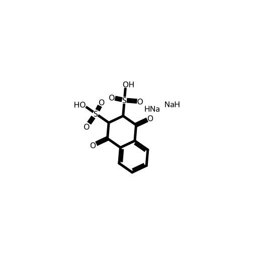 O=C1c2ccccc2C(=O)C(S(=O)(=O)O)C1S(=O)(=O)O.[NaH].[NaH]